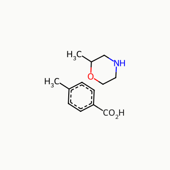 CC1CNCCO1.Cc1ccc(C(=O)O)cc1